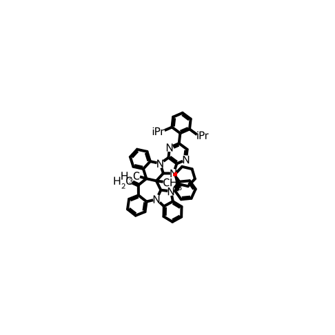 C=C1c2ccccc2N2c3ccccc3N(C3CCCCC3)C2C2(C)C3N(c4ccccc4)c4ncc(-c5c(C(C)C)cccc5C(C)C)nc4N3c3ccccc3C12C